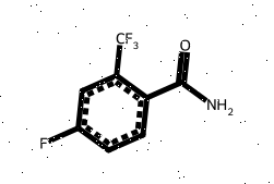 NC(=O)c1ccc(F)cc1C(F)(F)F